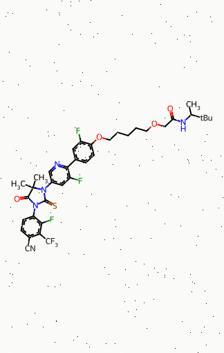 CC(NC(=O)COCCCCCOc1ccc(-c2ncc(N3C(=S)N(c4ccc(C#N)c(C(F)(F)F)c4F)C(=O)C3(C)C)cc2F)cc1F)C(C)(C)C